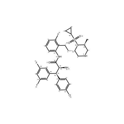 C[C@H]1CNC[C@H](CCc2c(F)cccc2NC(=O)[C@@H](N)[C@@H](c2ccc(Cl)cc2)c2cc(F)cc(F)c2)N1S(=O)(=O)C1CC1